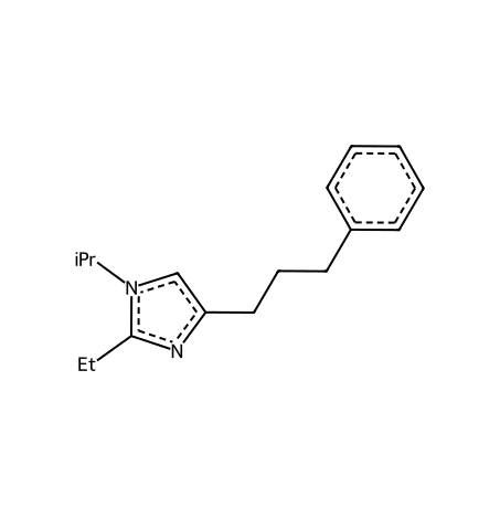 CCc1nc(CCCc2ccccc2)cn1C(C)C